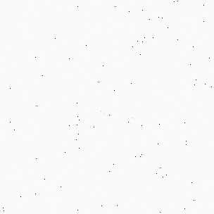 N#Cc1cccn1C(=O)O